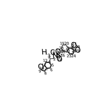 CN(CCc1ccc2ccoc2c1)S(=O)(=O)C[C@@H]1CCCc2c1ccc1c2OCO1